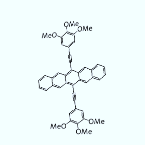 COc1cc(C#Cc2c3cc4ccccc4cc3c(C#Cc3cc(OC)c(OC)c(OC)c3)c3cc4ccccc4cc23)cc(OC)c1OC